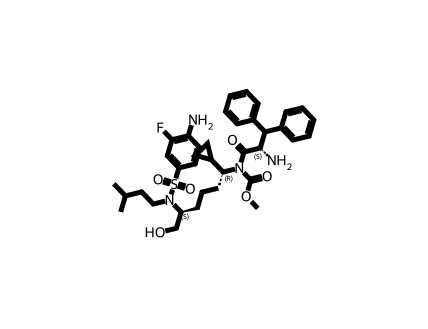 COC(=O)N(C(=O)[C@@H](N)C(c1ccccc1)c1ccccc1)[C@H](CCC[C@@H](CO)N(CCC(C)C)S(=O)(=O)c1ccc(N)c(F)c1)C1CC1